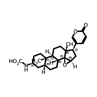 C[C@]12CC[C@H](NC(=O)O)C[C@H]1CC[C@@H]1[C@@H]2CC[C@]2(C)[C@@H](c3ccc(=O)oc3)C[C@H]3O[C@]132